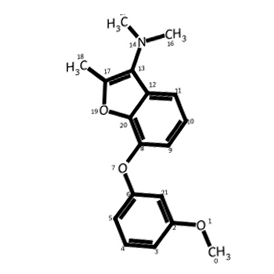 COc1cccc(Oc2cccc3c(N(C)C)c(C)oc23)c1